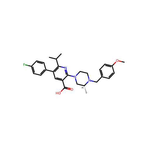 COc1ccc(CN2CCN(c3nc(C(C)C)c(-c4ccc(F)cc4)cc3C(=O)O)C[C@H]2C)cc1